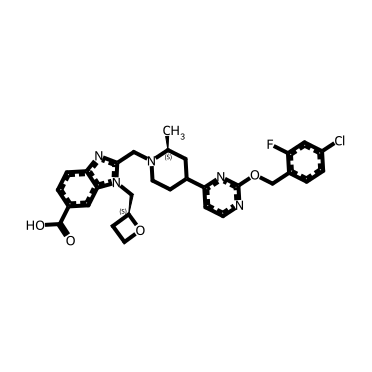 C[C@H]1CC(c2ccnc(OCc3ccc(Cl)cc3F)n2)CCN1Cc1nc2ccc(C(=O)O)cc2n1C[C@@H]1CCO1